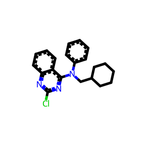 Clc1nc(N(CC2CCCCC2)c2ccccc2)c2ccccc2n1